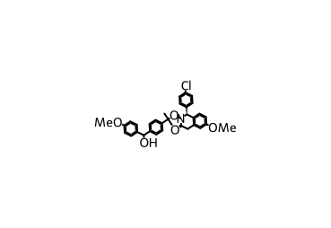 COc1ccc(C(O)c2ccc(C(C)(C)ON3C(=O)Cc4cc(OC)ccc4[C@@H]3c3ccc(Cl)cc3)cc2)cc1